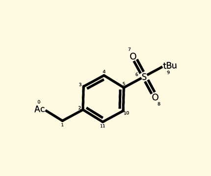 CC(=O)Cc1ccc(S(=O)(=O)C(C)(C)C)cc1